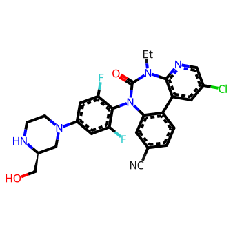 CCN1C(=O)N(c2c(F)cc(N3CCN[C@H](CO)C3)cc2F)c2cc(C#N)ccc2-c2cc(Cl)cnc21